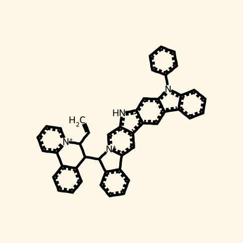 C=CC1C(C2c3ccccc3-c3cc4c(c[n+]32)[nH]c2cc3c(cc24)c2ccccc2n3-c2ccccc2)c2ccccc2-c2cccc[n+]21